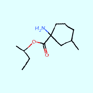 CCC(C)OC(=O)C1(N)CCCC(C)C1